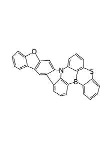 c1ccc2c(c1)Sc1cccc3c1B2c1cccc2c4cc5c(cc4n-3c12)oc1ccccc15